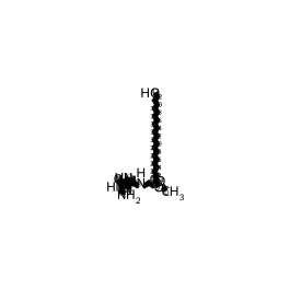 CCOP(=O)(CCCNCc1c[nH]c2c(=O)[nH]c(N)nc12)OCCCCCCCCCCCCCCCCCCCCCO